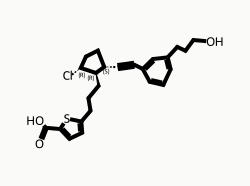 O=C(O)c1ccc(CCC[C@H]2[C@H](Cl)CC[C@@H]2C#Cc2cccc(CCCO)c2)s1